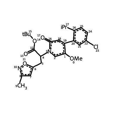 COc1cn(C(Cc2cc(C)no2)C(=O)OC(C)(C)C)c(=O)cc1-c1cc(Cl)ccc1C(C)C